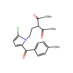 COC(=O)C(CCn1c(Cl)ccc1C(=O)c1ccc(OC)cc1)C(=O)OC